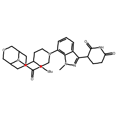 Cn1nc(C2CCC(=O)NC2=O)c2cccc(N3CCC(CN4C5COCC4CN(C(=O)OC(C)(C)C)C5)CC3)c21